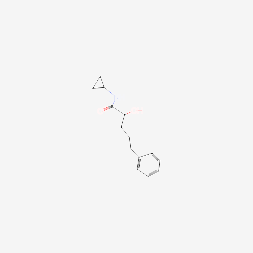 O=C(NC1CC1)C(O)[CH]CCc1ccccc1